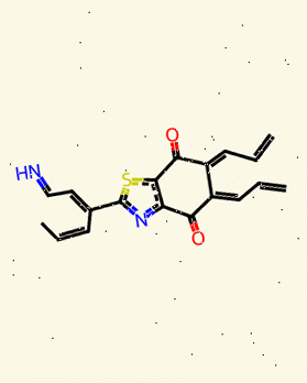 C=C/C=C1/C(=O)c2nc(C(/C=C\C)=C/C=N)sc2C(=O)/C1=C/C=C